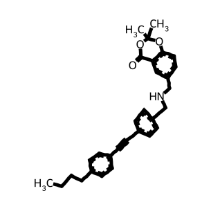 CCCCc1ccc(C#Cc2ccc(CNCc3ccc4c(c3)C(=O)OC(C)(C)O4)cc2)cc1